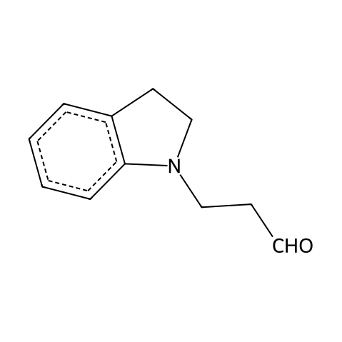 O=CCCN1CCc2ccccc21